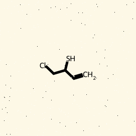 C=CC(S)CCl